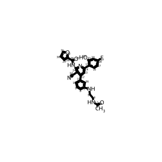 CC(=O)NCCNc1cccc(-c2cc(-c3ccc(F)cc3O)nc(NC(=O)c3ccco3)c2C#N)c1